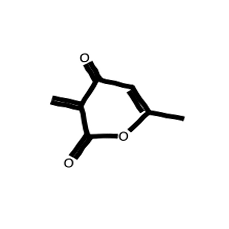 C=C1C(=O)C=C(C)OC1=O